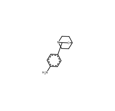 Nc1ccc(C2CC3CCN2CC3)cc1